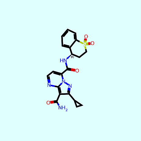 NC(=O)c1c(C2CC2)nn2c(C(=O)N[C@@H]3CCS(=O)(=O)c4ccccc43)ccnc12